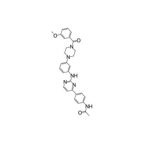 COc1cccc(C(=O)N2CCN(c3cccc(Nc4nccc(-c5ccc(NC(C)=O)cc5)n4)c3)CC2)c1